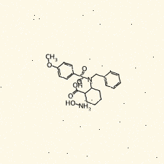 COc1ccc(S(=O)(=O)N(Cc2ccccc2)C2CCCCC2C(=O)O)cc1.NO